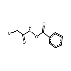 O=C(CBr)NOC(=O)c1ccccc1